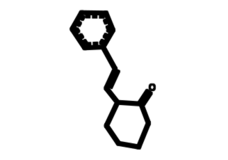 O=C1CCCCC1C=Cc1ccccc1